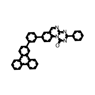 O=c1nc(-c2ccccc2)nc2ncc3cc(-c4cccc(-c5ccc6c7ccccc7c7ccccc7c6c5)c4)ccc3n12